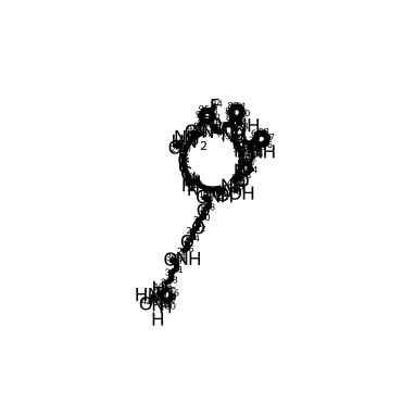 NC(=O)[C@@H]1CCCCn2cc(nn2)C[C@H](NC(=O)COCCOCCOCCNC(=O)CCCC[C@H]2SC[C@H]3NC(=O)N[C@H]32)C(=O)N[C@H](CO)C(=O)N2CCC[C@@H]2C(=O)N[C@H](Cc2c[nH]c3ccccc23)C(=O)N[C@H](Cc2c[nH]c3ccccc23)C(=O)N[C@H](Cc2ccc(F)cc2)C(=O)N1